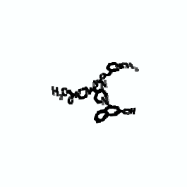 C=CC(=O)N1CCN(c2nc(OCC3=CN(C)CCC3)nc3c2CCN(c2cc(O)cc4ccccc24)C3)CC1